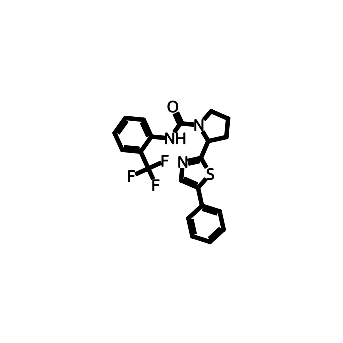 O=C(Nc1ccccc1C(F)(F)F)N1CCCC1c1ncc(-c2ccccc2)s1